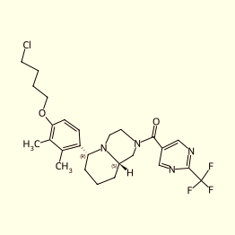 Cc1c(OCCCCCl)ccc([C@H]2CCC[C@H]3CN(C(=O)c4cnc(C(F)(F)F)nc4)CCN32)c1C